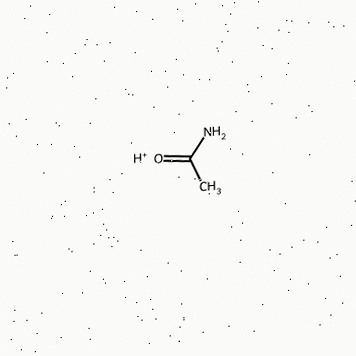 CC(N)=O.[H+]